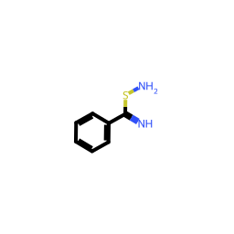 N=C(SN)c1ccccc1